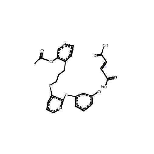 CC(=O)Oc1cnccc1CCCOc1cccnc1Oc1cccc(Cl)c1.O=C(O)/C=C/C(=O)O